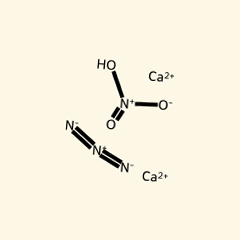 O=[N+]([O-])O.[Ca+2].[Ca+2].[N-]=[N+]=[N-]